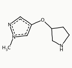 Cn1cc(OC2CCNC2)cn1